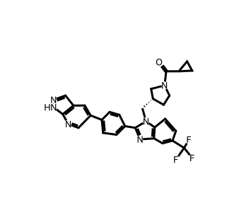 O=C(C1CC1)N1CC[C@H](Cn2c(-c3ccc(-c4cnc5[nH]ncc5c4)cc3)nc3cc(C(F)(F)F)ccc32)C1